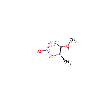 [CH2][C@@H](O[N+](=O)[O-])C(C)OC